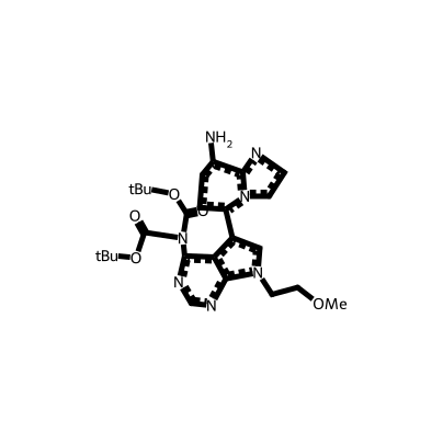 COCCn1cc(-c2ccc(N)c3nccn23)c2c(N(C(=O)OC(C)(C)C)C(=O)OC(C)(C)C)ncnc21